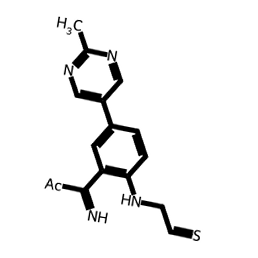 CC(=O)C(=N)c1cc(-c2cnc(C)nc2)ccc1NCC=S